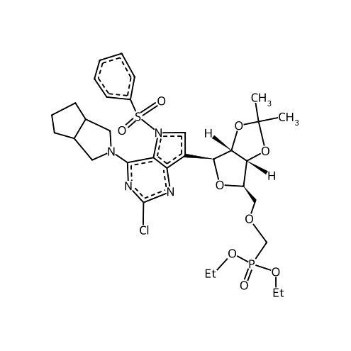 CCOP(=O)(COC[C@H]1O[C@@H](c2cn(S(=O)(=O)c3ccccc3)c3c(N4CC5CCCC5C4)nc(Cl)nc23)[C@@H]2OC(C)(C)O[C@@H]21)OCC